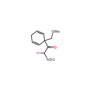 CCCCCCCCC(I)C(=O)C1(COC)C=CCC=C1